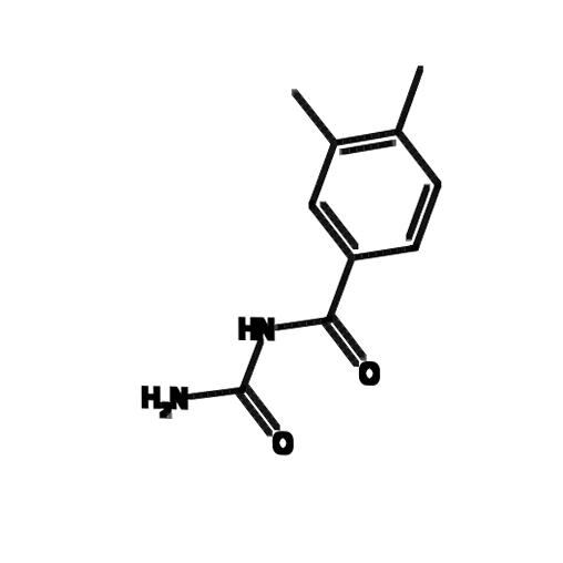 Cc1ccc(C(=O)NC(N)=O)cc1C